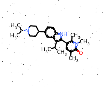 Cc1cc(-c2[nH]c3ccc(C4CCN(C(C)C)CC4)cc3c2C(C)C)c(C)n(C)c1=O